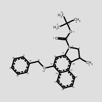 CC1CN(C(=O)OC(C)(C)C)c2cc(OCc3ccccc3)c3ccccc3c21